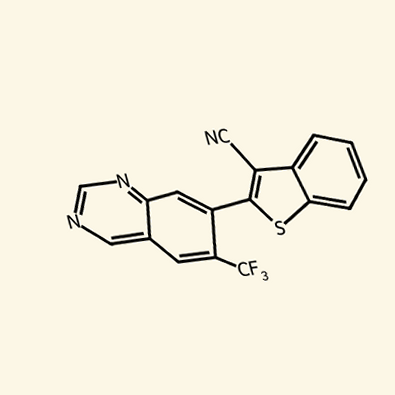 N#Cc1c(-c2cc3ncncc3cc2C(F)(F)F)sc2ccccc12